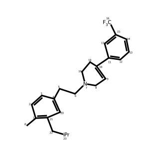 Cc1ccc(CCN2CC=C(c3cccc(C(F)(F)F)c3)CC2)cc1CC(C)C